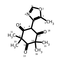 Cc1ocnc1C1C(=O)C(C)(C)C(=O)C(C)(C)C1=O